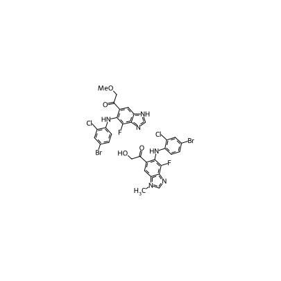 COCC(=O)c1cc2[nH]cnc2c(F)c1Nc1ccc(Br)cc1Cl.Cn1cnc2c(F)c(Nc3ccc(Br)cc3Cl)c(C(=O)CO)cc21